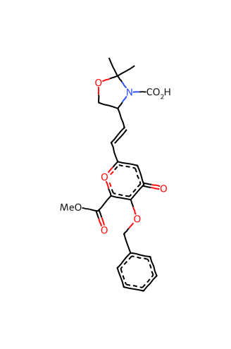 COC(=O)c1oc(C=CC2COC(C)(C)N2C(=O)O)cc(=O)c1OCc1ccccc1